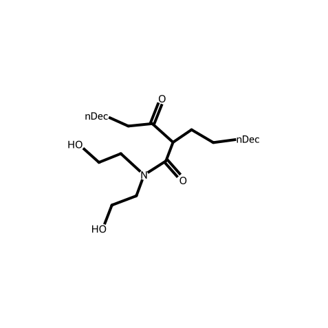 CCCCCCCCCCCCC(C(=O)CCCCCCCCCCC)C(=O)N(CCO)CCO